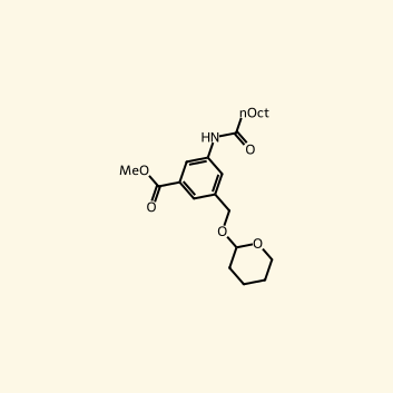 CCCCCCCCC(=O)Nc1cc(COC2CCCCO2)cc(C(=O)OC)c1